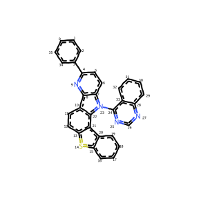 c1ccc(-c2ccc3c(n2)c2ccc4sc5ccccc5c4c2n3-c2ncnc3ccccc23)cc1